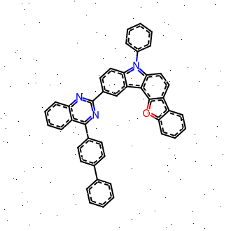 c1ccc(-c2ccc(-c3nc(-c4ccc5c(c4)c4c6oc7ccccc7c6ccc4n5-c4ccccc4)nc4ccccc34)cc2)cc1